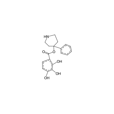 O=C(OC1(c2ccccc2)CCNCC1)c1ccc(O)c(O)c1O